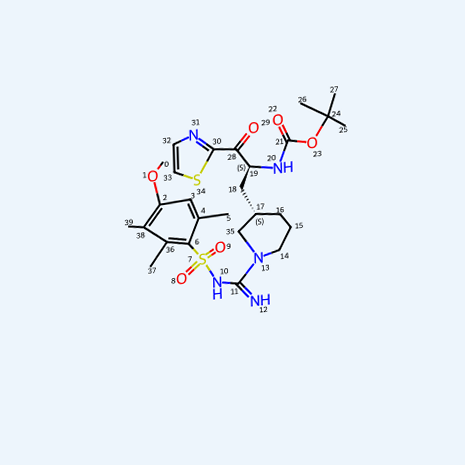 COc1cc(C)c(S(=O)(=O)NC(=N)N2CCC[C@@H](C[C@H](NC(=O)OC(C)(C)C)C(=O)c3nccs3)C2)c(C)c1C